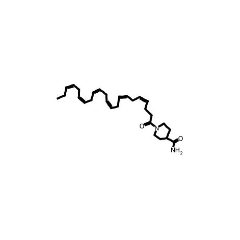 CC/C=C\C/C=C\C/C=C\C/C=C\C/C=C\C/C=C\CCC(=O)N1CCC(C(N)=O)CC1